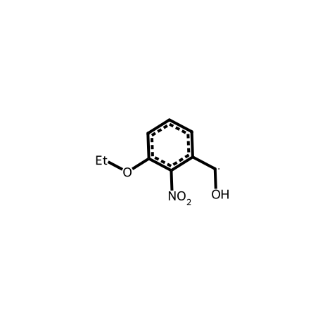 CCOc1cccc([CH]O)c1[N+](=O)[O-]